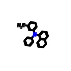 Cc1cccc(N(c2ccccc2)c2cccc3c2C=CCC3)c1